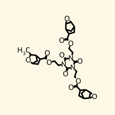 CC1OC2CC(C(=O)OCCn3c(=O)n(CCOC(=O)C4CC5CC4C4OC54)c(=O)n(CCOC(=O)C4CC5CC4C4OC54)c3=O)C1C2